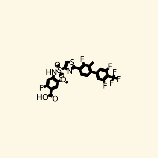 COc1cc(C(=O)O)c(F)cc1NS(=O)(=O)c1csc(-c2ccc(-c3cc(F)c(C(F)(F)F)c(F)c3)c(C)c2F)n1